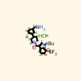 CCCCn1cc(C(=O)N2CCC(c3cc(CN)ccc3F)CC2)c2cccc(OC(F)(F)F)c21.Cl